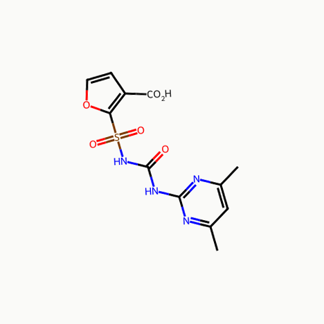 Cc1cc(C)nc(NC(=O)NS(=O)(=O)c2occc2C(=O)O)n1